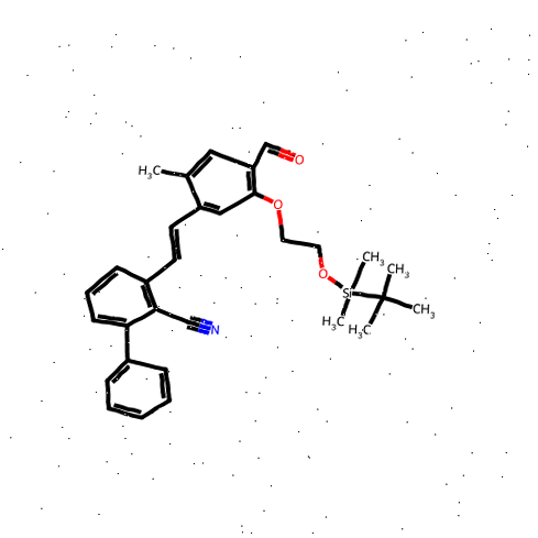 Cc1cc(C=O)c(OCCO[Si](C)(C)C(C)(C)C)cc1/C=C/c1cccc(-c2ccccc2)c1C#N